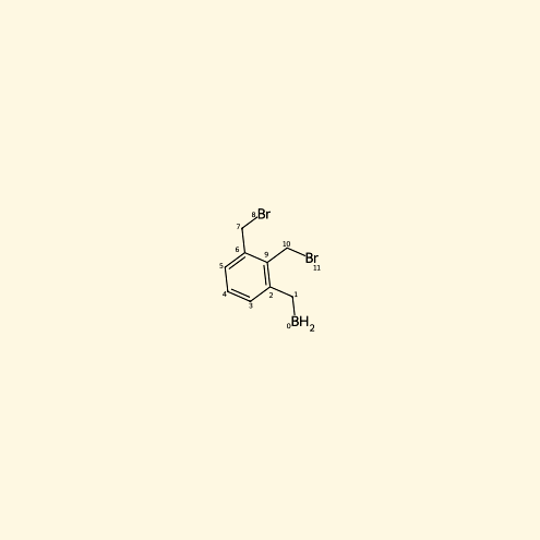 BCc1cccc(CBr)c1CBr